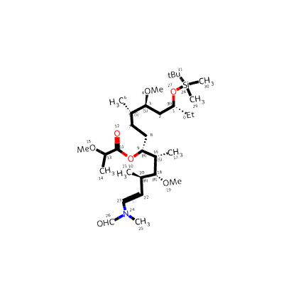 CC[C@H](C[C@H](OC)[C@@H](C)CC[C@@H](OC(=O)C(C)OC)[C@H](C)[C@H](OC)[C@H](C)/C=C/N(C)C=O)O[Si](C)(C)C(C)(C)C